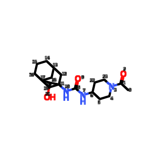 CC(=O)N1CCC(NC(=O)NC23CC4CCCC(C4)(C2)C3O)CC1